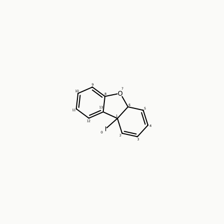 IC12C=CC=CC1Oc1ccccc12